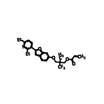 C=CC(=O)OCC(C)(COc1ccc2cc(-c3ccc(CC)nc3CC)oc2c1)C(F)(F)F